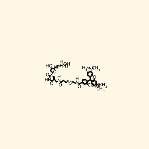 CN(C)c1ccc2c(-c3ccc(C(=O)NCCSSCCC(=O)NCc4cn(C5CC(O)C(CPPPO)O5)c(=O)[nH]c4=O)cc3C(=O)O)c3ccc(=[N+](C)C)cc-3oc2c1